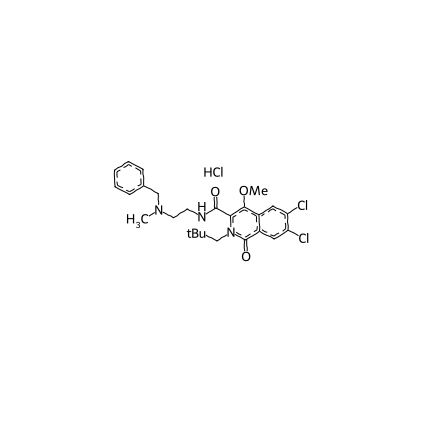 COc1c(C(=O)NCCN(C)Cc2ccccc2)n(CC(C)(C)C)c(=O)c2cc(Cl)c(Cl)cc12.Cl